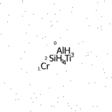 [AlH3].[Cr].[SiH4].[Ti]